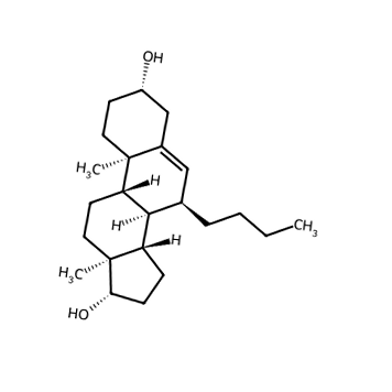 CCCC[C@@H]1C=C2C[C@@H](O)CC[C@]2(C)[C@H]2CC[C@]3(C)[C@@H](O)CC[C@H]3[C@H]12